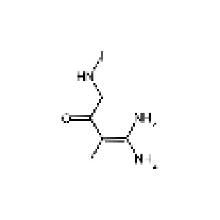 CC(C(=O)CNI)=C(N)N